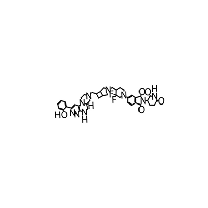 O=C1CCC(N2C(=O)c3ccc(N4CCC(CN5CC6CC(CN7CCN8c9cc(-c%10ccccc%10O)nnc9NC[C@H]8C7)C6C5)C(F)(F)C4)cc3C2=O)C(=O)N1